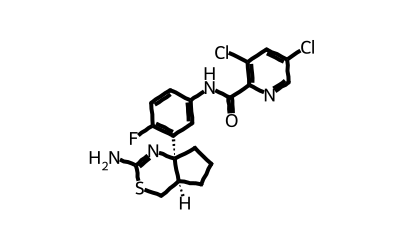 NC1=N[C@@]2(c3cc(NC(=O)c4ncc(Cl)cc4Cl)ccc3F)CCC[C@H]2CS1